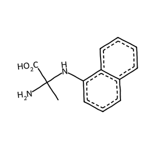 CC(N)(Nc1cccc2ccccc12)C(=O)O